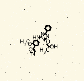 COc1cc(Nc2nc(OCC(C)O)nc(-c3ccccc3)n2)ccc1-c1cnco1